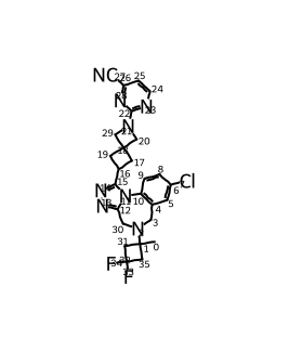 CC1(N2Cc3cc(Cl)ccc3-n3c(nnc3C3CC4(C3)CN(c3nccc(C#N)n3)C4)C2)CC(F)(F)C1